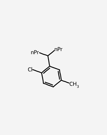 CCCC(CCC)c1cc(C)ccc1Cl